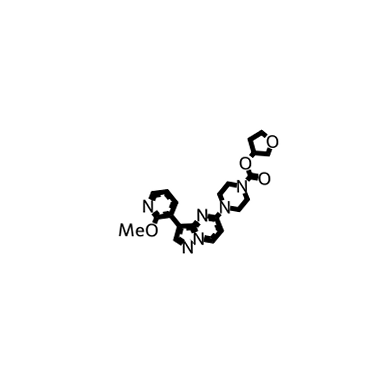 COc1ncccc1-c1cnn2ccc(N3CCN(C(=O)OC4CCOC4)CC3)nc12